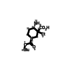 CCC1(C(=O)O)CN(C(=O)OC(C)(C)C)CC[C@@H]1N